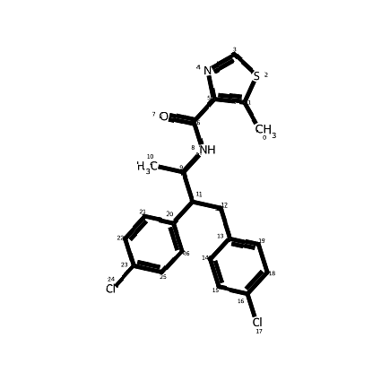 Cc1scnc1C(=O)NC(C)C(Cc1ccc(Cl)cc1)c1ccc(Cl)cc1